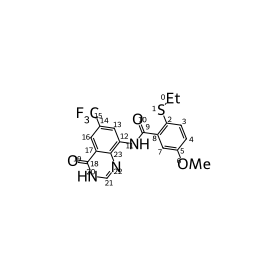 CCSc1ccc(OC)cc1C(=O)Nc1cc(C(F)(F)F)cc2c(=O)[nH]cnc12